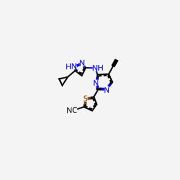 C#Cc1cnc(-c2ccc(C#N)s2)nc1Nc1cc(C2CC2)[nH]n1